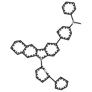 CN(c1ccccc1)c1ccc(-c2ccc3c(c2)c2cc4ccccc4cc2n3-c2cccc(-c3ccccc3)c2)cc1